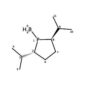 BP1[C@@H](C(C)C)CC[C@@H]1C(C)C